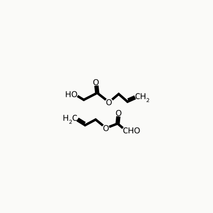 C=CCOC(=O)C=O.C=CCOC(=O)CO